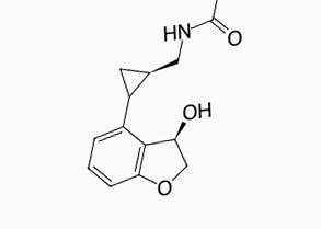 CCC(=O)NC[C@@H]1CC1c1cccc2c1[C@@H](O)CO2